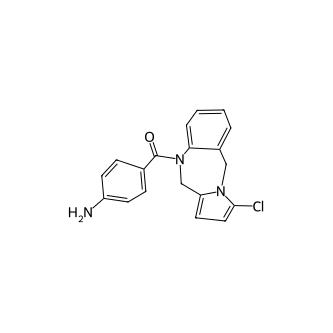 Nc1ccc(C(=O)N2Cc3ccc(Cl)n3Cc3ccccc32)cc1